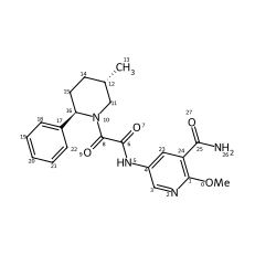 COc1ncc(NC(=O)C(=O)N2C[C@@H](C)CC[C@@H]2c2ccccc2)cc1C(N)=O